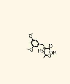 COc1cc(C[C@H](NC(C)=O)C(=O)O)cc(OC)c1